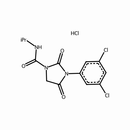 CC(C)NC(=O)N1CC(=O)N(c2cc(Cl)cc(Cl)c2)C1=O.Cl